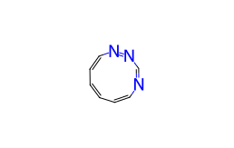 c1cccnncncc1